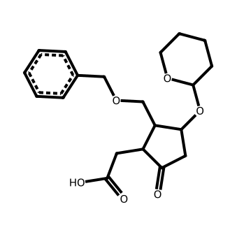 O=C(O)CC1C(=O)CC(OC2CCCCO2)C1COCc1ccccc1